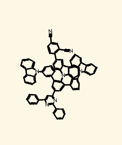 N#Cc1ccc(-c2ccc3c(c2)c2ccccc2n3-c2c(-c3cccc(-n4c5ccccc5c5ccccc54)c3)cc(-c3cc(-c4ccccc4)nc(-c4ccccc4)n3)cc2-c2cccc(-n3c4ccccc4c4ccccc43)c2)c(C#N)c1